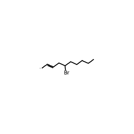 [CH2]/C=C/CC(Br)CCCCC